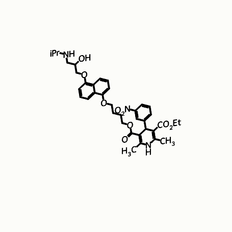 CCOC(=O)C1=C(C)NC(C)=C(C(=O)OCCCCOc2cccc3c(OCC(O)CNC(C)C)cccc23)C1c1cccc([N+](=O)[O-])c1